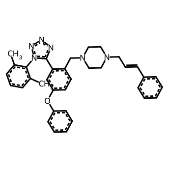 Cc1cccc(C)c1-n1nnnc1-c1cc(Oc2ccccc2)ccc1CN1CCN(CC=Cc2ccccc2)CC1